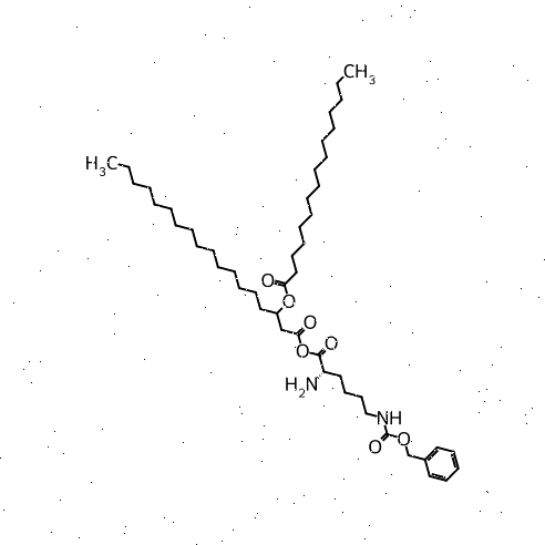 CCCCCCCCCCCCCCCC(=O)OC(CCCCCCCCCCCCCCC)CC(=O)OC(=O)[C@@H](N)CCCCNC(=O)OCc1ccccc1